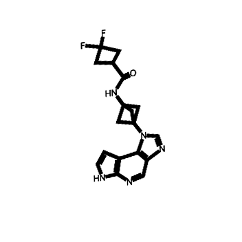 O=C(NC12CC(n3cnc4cnc5[nH]ccc5c43)(C1)C2)C1CC(F)(F)C1